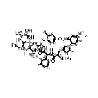 CC[C@H](NC(=O)[C@H](CC(C)C)NC(=O)[C@@H](NC(=O)[C@H](Cc1ccccc1C)NC(=O)C(NC(=O)[C@@H](Cc1cn(-c2ccc([N+](=O)[O-])cc2[N+](=O)[O-])cn1)NC(C)=O)c1ccccc1)C(C)(C)C)B(O)O